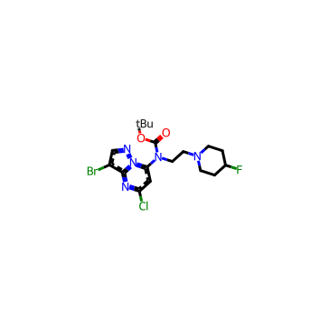 CC(C)(C)OC(=O)N(CCN1CCC(F)CC1)c1cc(Cl)nc2c(Br)cnn12